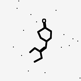 CCC(=CC1CCC(=O)CC1)CC